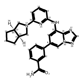 NC(=O)c1cccc(-c2cc(Nc3cccc(N4C[C@H]5CCC[C@H]5C4)n3)c3ncnn3c2)c1